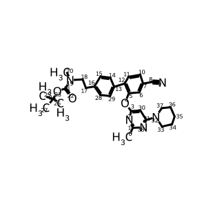 Cc1nc(Oc2cc(C#N)ccc2-c2ccc(CCN(C)C(=O)OC(C)(C)C)cc2)cc(N2CCCCC2)n1